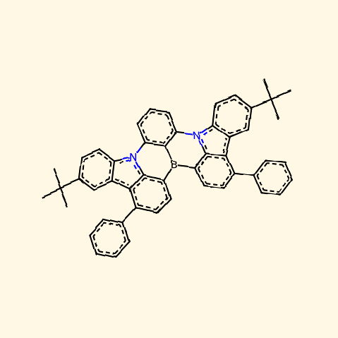 CC(C)(C)c1ccc2c(c1)c1c(-c3ccccc3)ccc3c1n2-c1cccc2c1B3c1ccc(-c3ccccc3)c3c4cc(C(C)(C)C)ccc4n-2c13